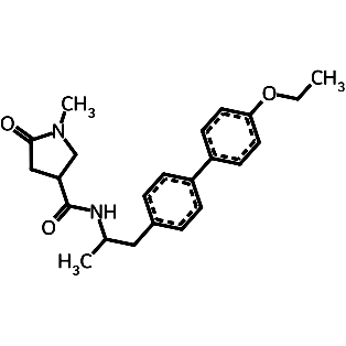 CCOc1ccc(-c2ccc(CC(C)NC(=O)C3CC(=O)N(C)C3)cc2)cc1